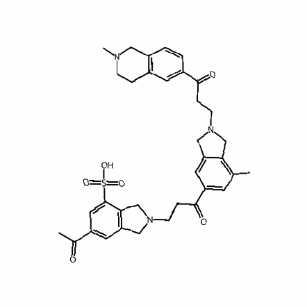 CC(=O)c1cc2c(c(S(=O)(=O)O)c1)CN(CCC(=O)c1cc(C)c3c(c1)CN(CCC(=O)c1ccc4c(c1)CCN(C)C4)C3)C2